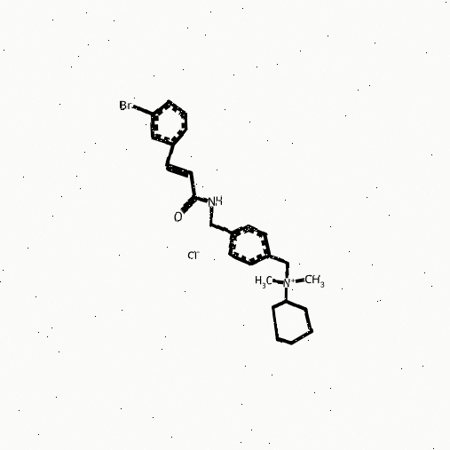 C[N+](C)(Cc1ccc(CNC(=O)C=Cc2cccc(Br)c2)cc1)C1CCCCC1.[Cl-]